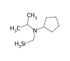 CC(C)N(C[SiH3])C1CCCC1